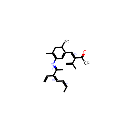 C=CC(=C/C=C\C)/C(C)=N/C1=C(C)CC(C(C)C)C(/C=C(\C(=C)C)C(=O)C#N)=C1